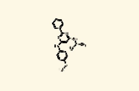 CSc1ccc(Nc2cc(NC(C)C)nc(-c3ccccc3)n2)cc1